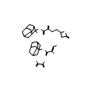 C=C(C)C(=O)O.C=C(CCC1CC(=O)O1)C(=O)OC1(C)C2CC3CC(C2)CC1C3.CC(=CO)C(=O)OC12CC3CC(CC(C3)C1)C2